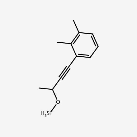 Cc1cccc(C#CC(C)O[SiH3])c1C